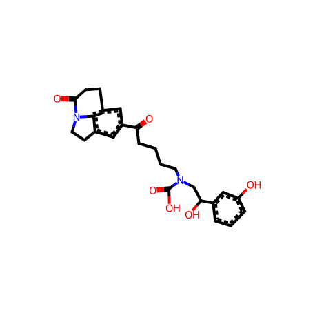 O=C(CCCCN(CC(O)c1cccc(O)c1)C(=O)O)c1cc2c3c(c1)CCN3C(=O)CC2